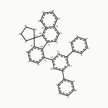 c1ccc(-c2nc(-c3ccccc3)nc(-c3cccc4c3-c3ccc5ccccc5c3C43CCCC3)n2)cc1